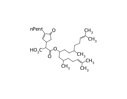 CCCCCC1=CC(C(C(=O)O)C(=O)OC(CCC(C)CCC=C(C)C)CC(C)CCC=C(C)C)CC1=O